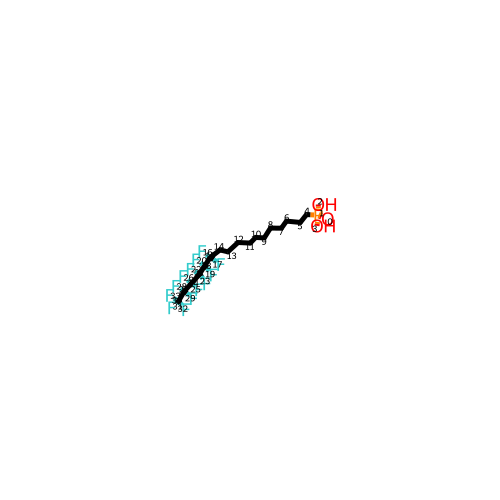 O=P(O)(O)CCCCCCCCCCCC(F)(F)C(F)(F)C(F)(F)C(F)(F)C(F)(F)C(F)(F)F